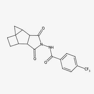 O=C(NN1C(=O)C2C(C1=O)C1CC13CCC23)c1ccc(C(F)(F)F)cc1